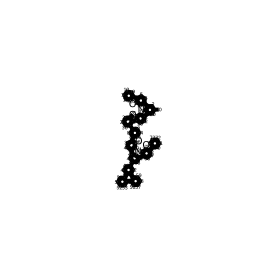 Cc1cc2c3ccc4c5ccccc5oc4c3n3c2c(c1)c1ccc2c(oc4cccc(-c5ccc6oc7c(ccc8c9cc(-c%10ccc%11c%12ccccc%12c%12ccccc%12c%11c%10)cc%10c%11ccc%12c%13ccccc%13oc%12c%11n(c%109)c87)c6c5)c42)c13